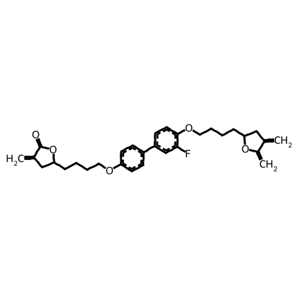 C=C1CC(CCCCOc2ccc(-c3ccc(OCCCCC4CC(=C)C(=O)O4)cc3)cc2F)OC1=C